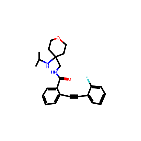 CC(C)NC1(CNC(=O)c2ccccc2C#Cc2ccccc2F)CCOCC1